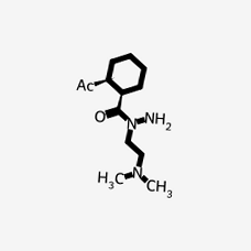 CC(=O)[C@H]1CCCC[C@H]1C(=O)N(N)CCN(C)C